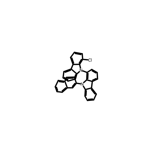 Clc1cccc2c3ccccc3n(-c3cccc4c5ccccc5n(-c5ccc6ccccc6c5)c34)c12